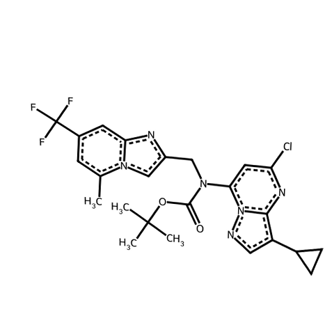 Cc1cc(C(F)(F)F)cc2nc(CN(C(=O)OC(C)(C)C)c3cc(Cl)nc4c(C5CC5)cnn34)cn12